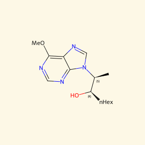 CCCCCC[C@@H](O)[C@H](C)n1cnc2c(OC)ncnc21